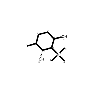 CC1CCC(O)C([N+](C)(C)C)[C@@H]1O